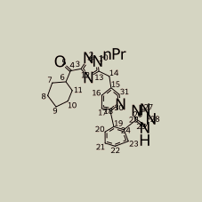 CCCn1nc(C(=O)C2CCCCC2)nc1Cc1ccc(-c2ccccc2-c2nnn[nH]2)nc1